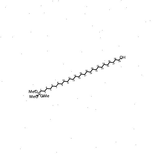 CO[Si](CCCCCCCCCCCCCCCCCCCCCCCCCCCCO)(OC)OC